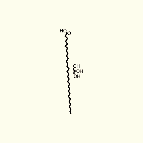 CCCCCCCCCCCCCCCCCCCCCCCCCCCCCCCCC(=O)O.OCC(O)CO